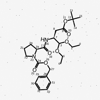 CCOC(OCC)[C@H](CC(=O)OC(C)(C)C)NC(=O)C1CCCN1C(=O)OCc1ccccc1